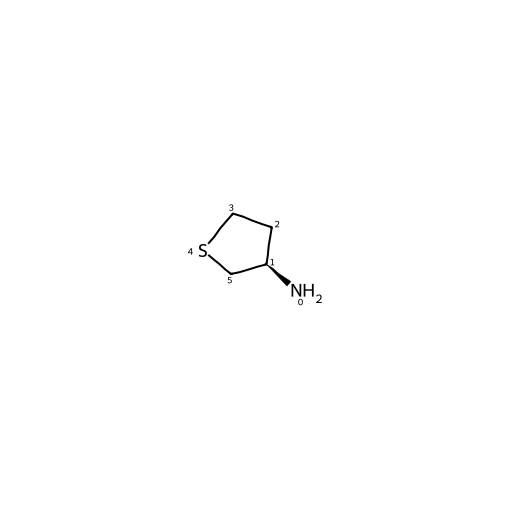 N[C@@H]1CCSC1